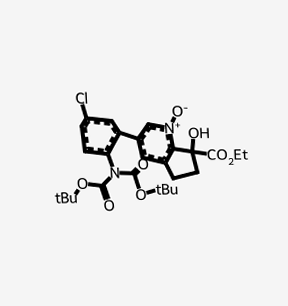 CCOC(=O)C1(O)CCc2cc(-c3cc(Cl)ccc3N(C(=O)OC(C)(C)C)C(=O)OC(C)(C)C)c[n+]([O-])c21